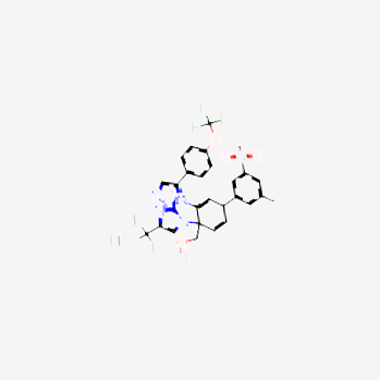 COCC1(n2cc(C(C)(F)F)nc2C)C=CC(c2cc(F)cc(S(C)(=O)=O)c2)C=C1n1nncc1-c1ccc(OC(F)(F)F)cc1